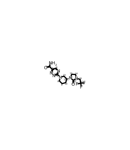 NC(=O)c1cnc(N2CCC[C@@H](N3CCN(CC(F)(F)F)C3=O)C2)nn1